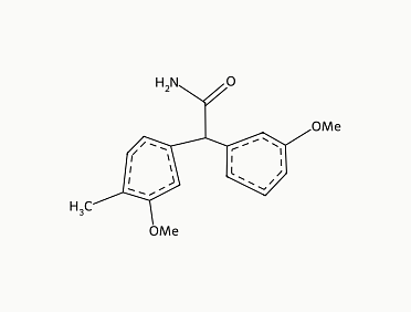 COc1cccc(C(C(N)=O)c2ccc(C)c(OC)c2)c1